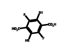 O=C(O)c1c(F)c(S)c(C(=O)O)c(F)c1S